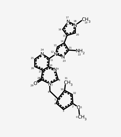 COc1ccc(Cn2cnc3c(-n4cc(-c5cnn(C)c5)c(N)n4)nccc3c2=O)c(C)c1